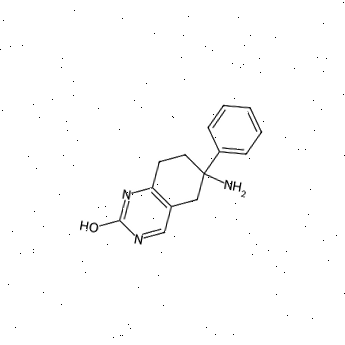 NC1(c2ccccc2)CCc2nc(O)ncc2C1